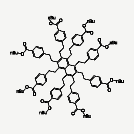 CCCCOC(=O)c1ccc(CCc2c(CCc3ccc(C(=O)OCCCC)cc3)c(CCc3ccc(C(=O)OCCCC)cc3)c3c(CCc4ccc(C(=O)OCCCC)cc4)c(CCc4ccc(C(=O)OCCCC)cc4)c(CCc4ccc(C(=O)OCCCC)cc4)c(CCc4ccc(C(=O)OCCCC)cc4)c3c2CCc2ccc(C(=O)OCCCC)cc2)cc1